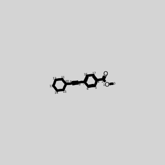 COC(=O)c1ccc(C#CC2CCCCC2)cc1